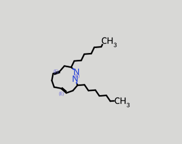 CCCCCCCC1C/C=C/CC/C=C/CC(CCCCCCC)/N=N/1